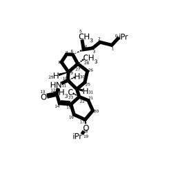 CC(C)CCCC(C)[C@H]1CC[C@H]2[C@@H]3NC(=O)C=C4C[C@@H](OC(C)C)CC[C@]4(C)[C@H]3CC[C@]12C